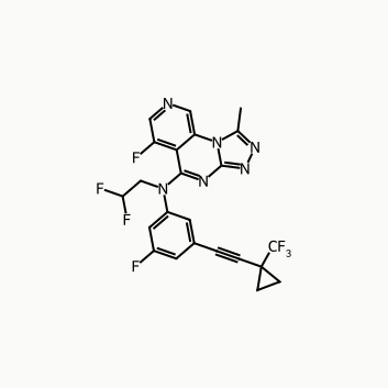 Cc1nnc2nc(N(CC(F)F)c3cc(F)cc(C#CC4(C(F)(F)F)CC4)c3)c3c(F)cncc3n12